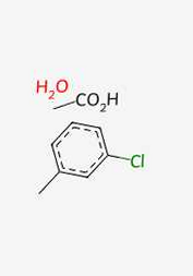 CC(=O)O.Cc1cccc(Cl)c1.O